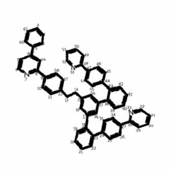 c1ccc(-c2ccnc(-c3ccc(CCc4cc(-c5ccccc5-c5ccc(-c6ccccn6)cc5)cc(-c5ccccc5-c5ccc(-c6ccccn6)cc5)c4)cc3)c2)cc1